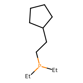 CCP(CC)CCC1CCCC1